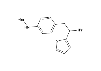 CC(C)C(Cc1ccc(NC(C)(C)C)cc1)c1cccs1